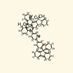 CC1(C)c2ccccc2-c2cc(N(c3ccccc3)c3ccc(-c4ccc(C5(c6ccccc6)c6ccccc6-c6ccccc65)cc4)nc3)c3c(c21)-c1ccccc1C3(C)C